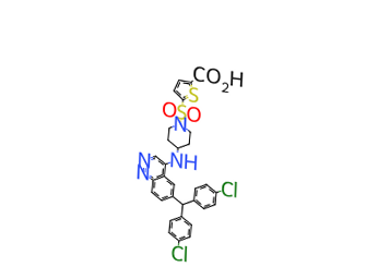 O=C(O)c1ccc(S(=O)(=O)N2CCC(Nc3cnnc4ccc(C(c5ccc(Cl)cc5)c5ccc(Cl)cc5)cc34)CC2)s1